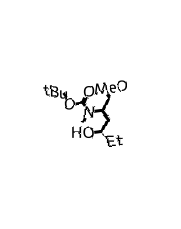 CC[C@H](O)CC(COC)N(C)C(=O)OC(C)(C)C